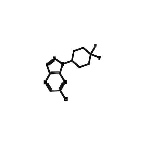 FC1(F)CCC(n2ncc3ncc(Cl)nc32)CC1